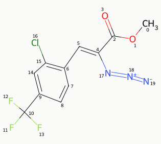 COC(=O)C(=Cc1ccc(C(F)(F)F)cc1Cl)N=[N+]=[N-]